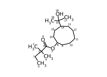 CCC(C)(C)C(=O)OC1CCCCCC(C(C)(C)O)CC1